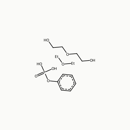 CCOCC.O=P(O)(O)Oc1ccccc1.OCCOCCO